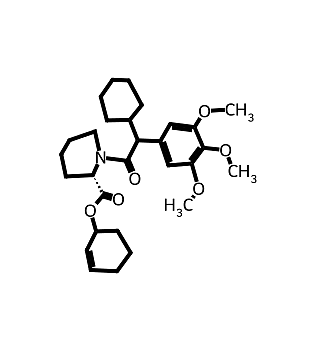 COc1cc(C(C(=O)N2CCCC[C@H]2C(=O)OC2C=CCCC2)C2CCCCC2)cc(OC)c1OC